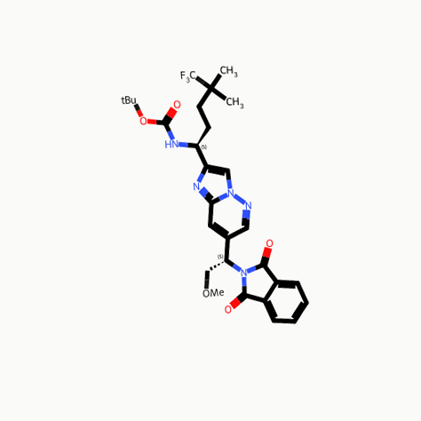 COC[C@H](c1cnn2cc([C@H](CCC(C)(C)C(F)(F)F)NC(=O)OC(C)(C)C)nc2c1)N1C(=O)c2ccccc2C1=O